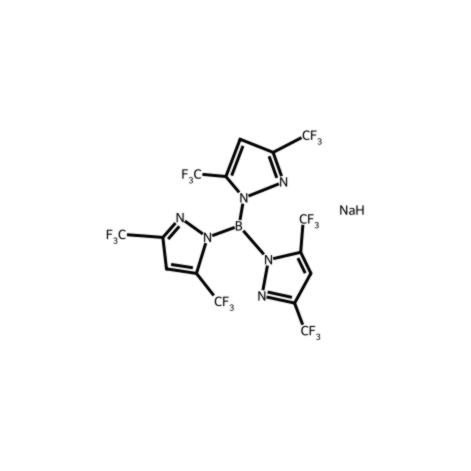 FC(F)(F)c1cc(C(F)(F)F)n(B(n2nc(C(F)(F)F)cc2C(F)(F)F)n2nc(C(F)(F)F)cc2C(F)(F)F)n1.[NaH]